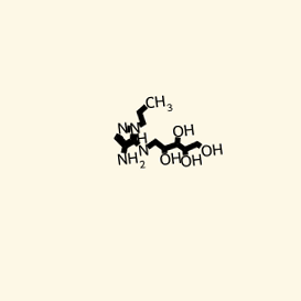 CCCn1ncc(N)c1NCC(O)C(O)C(O)CO